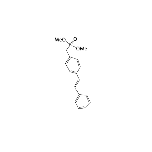 COP(=O)(Cc1ccc(C=Cc2ccccc2)cc1)OC